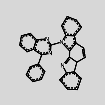 C1=CC2C(=Nc3ccccc32)c2c1c1ccccc1n2-c1nc(-c2ccccc2)c2ccccc2n1